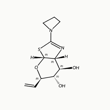 C=C[C@H]1O[C@@H]2SC(N3CCC3)=N[C@@H]2[C@@H](O)[C@@H]1O